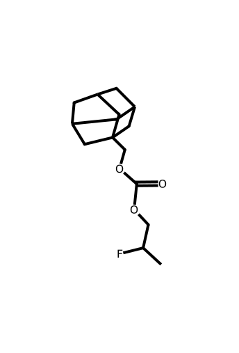 CC(F)COC(=O)OCC12CC3CC(CC(C3)C1)C2